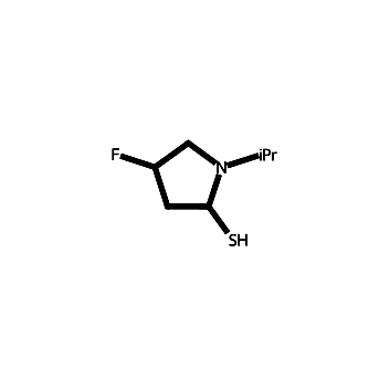 CC(C)N1CC(F)CC1S